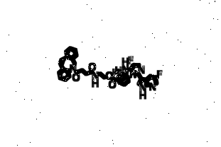 O=C(CCC(=O)N1Cc2ccccc2C#Cc2ccccc21)NCCOC(=O)[C@H]1C2CCC(CC2)[C@@H]1Nc1nc(-c2c[nH]c3ncc(F)cc23)ncc1F